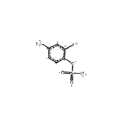 O=S(=O)(Oc1ccc(C(F)(F)F)cc1F)C(F)(F)F